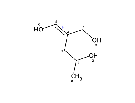 CC(O)C/C(=C\O)CO